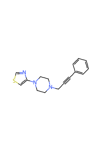 C(#Cc1ccccc1)CN1CCN(c2cscn2)CC1